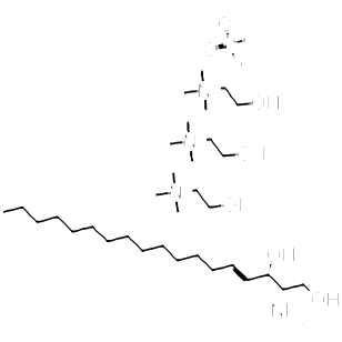 CCCCCCCCCCCCC/C=C/[C@@H](O)[C@@H](N)CO.C[N+](C)(C)CCO.C[N+](C)(C)CCO.C[N+](C)(C)CCO.O=P([O-])([O-])[O-]